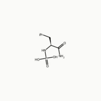 CC(C)C[C@H](NP(=O)(O)O)C(N)=O